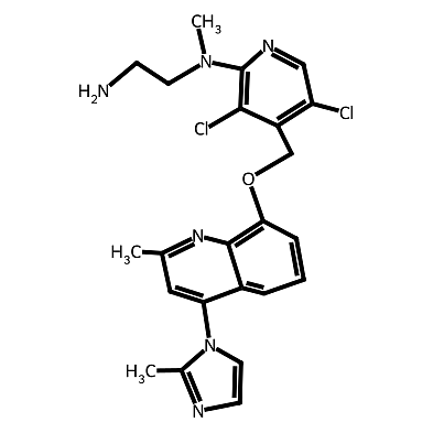 Cc1cc(-n2ccnc2C)c2cccc(OCc3c(Cl)cnc(N(C)CCN)c3Cl)c2n1